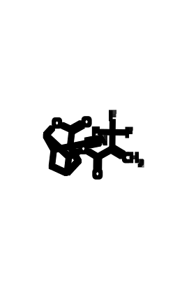 C=C(C(=O)OC1C2CC3C1OC(=O)C3(C#N)C2)C(F)(F)F